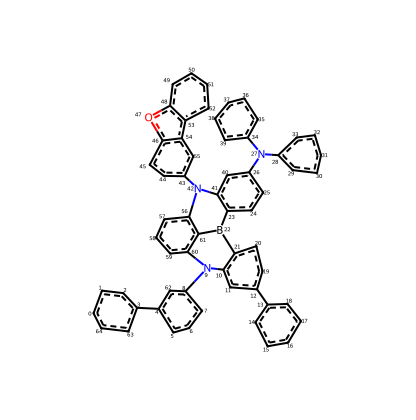 c1ccc(-c2cccc(N3c4cc(-c5ccccc5)ccc4B4c5ccc(N(c6ccccc6)c6ccccc6)cc5N(c5ccc6oc7ccccc7c6c5)c5cccc3c54)c2)cc1